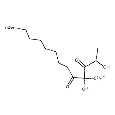 CCCCCCCCCCCCCCCCCC(=O)C(O)(C(=O)O)C(=O)C(C)O